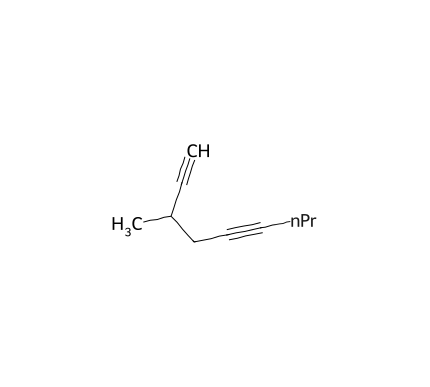 C#CC(C)CC#CCCC